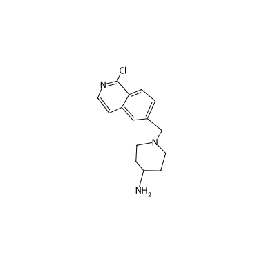 NC1CCN(Cc2ccc3c(Cl)nccc3c2)CC1